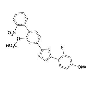 COc1ccc(-c2csc(-c3ccc(-c4ccccc4[N+](=O)[O-])c(OC(=O)O)c3)n2)c(F)c1